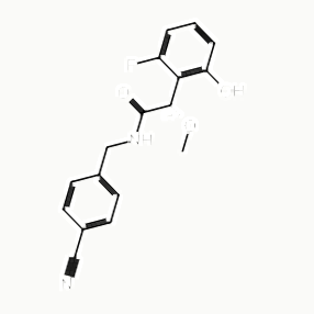 CO[C@H](C(=O)NCc1ccc(C#N)cc1)c1c(O)cccc1F